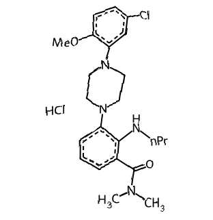 CCCNc1c(C(=O)N(C)C)cccc1N1CCN(c2cc(Cl)ccc2OC)CC1.Cl